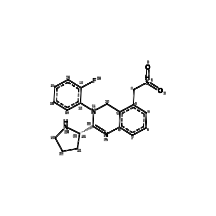 O=[SH](=O)Cc1cccc2c1CN(c1ccccc1F)C([C@@H]1CCCN1)=N2